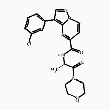 C[C@H](NC(=O)c1ccn2ncc(-c3cccc(Cl)c3)c2n1)C(=O)N1CCNCC1